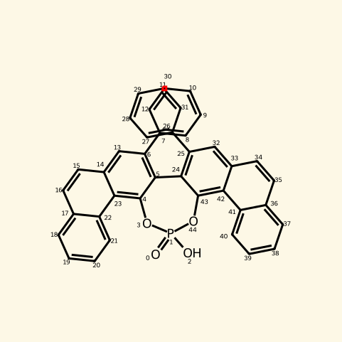 O=P1(O)Oc2c(c(-c3ccccc3)cc3ccc4ccccc4c23)-c2c(-c3ccccc3)cc3ccc4ccccc4c3c2O1